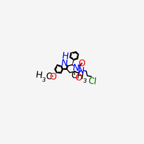 COc1ccc2[nH]c3c(c2c1)C[C@@]1(C)C(=O)N(CCCCl)C(=O)N1[C@@H]3c1ccccc1